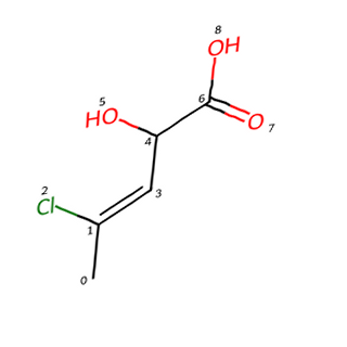 CC(Cl)=CC(O)C(=O)O